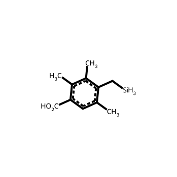 Cc1cc(C(=O)O)c(C)c(C)c1C[SiH3]